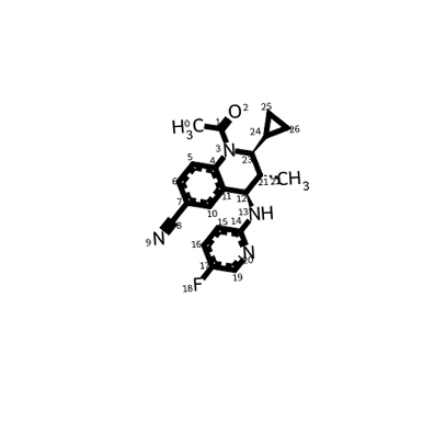 CC(=O)N1c2ccc(C#N)cc2[C@H](Nc2ccc(F)cn2)[C@@H](C)[C@@H]1C1CC1